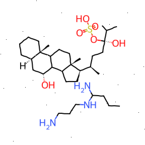 CC(C)[C@@](O)(CC[C@@H](C)[C@H]1CCC2C3C(CC[C@@]21C)[C@@]1(C)CCCC[C@@H]1C[C@H]3O)OS(=O)(=O)O.CCCC(N)NCCCN